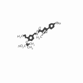 C=CCc1cc(CNC(=O)c2cc(-c3ccc(C(C)(C)C)cc3)nn2C)ccc1OC(C)(C)C(=O)O